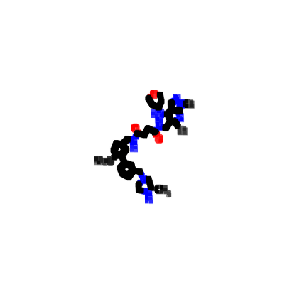 CCc1nc2c(cnn2CC)c(NC2CCOCC2)c1CNC(=O)CCC(=O)NCc1ccc(OC)c(-c2cccc(CN3CCN[C@@H](C)C3)c2)c1